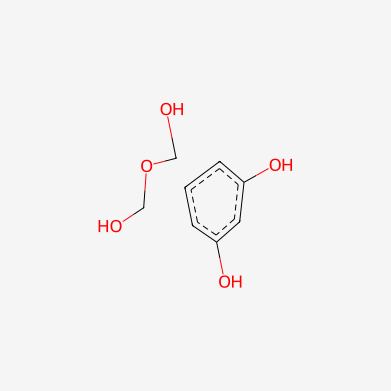 OCOCO.Oc1cccc(O)c1